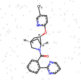 O=C(c1ccccc1-c1ncccn1)N1C[C@H]2C[C@@H](Oc3ccc(C(F)(F)F)cn3)[C@@H]1C2